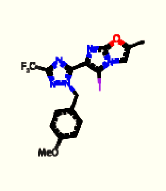 COc1ccc(Cn2nc(C(F)(F)F)nc2-c2nc3oc(C)cn3c2I)cc1